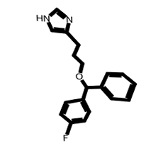 Fc1ccc(C(OCCCc2c[nH]cn2)c2ccccc2)cc1